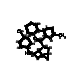 Cc1ccc(-c2ncccn2)c(C(=O)N2CC3CC34CC(Nc3ccc(Cl)cn3)C24)n1